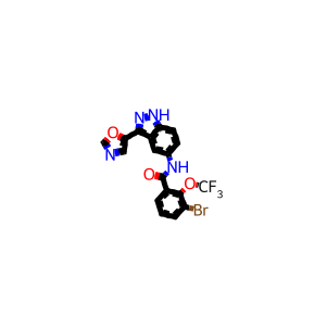 O=C(Nc1ccc2[nH]nc(-c3cnco3)c2c1)c1cccc(Br)c1OC(F)(F)F